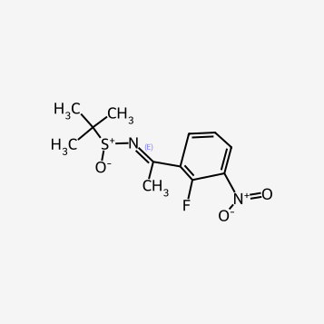 C/C(=N\[S+]([O-])C(C)(C)C)c1cccc([N+](=O)[O-])c1F